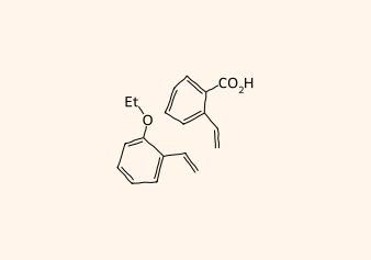 C=Cc1ccccc1C(=O)O.C=Cc1ccccc1OCC